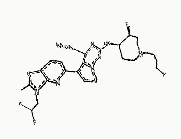 CNc1nc(N[C@@H]2CCN(CCF)C[C@@H]2F)nn2ccc(-c3ccc4nc(C)n(CC(F)F)c4n3)c12